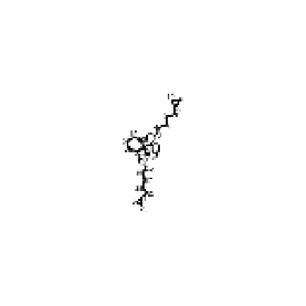 O=C(OCCCCCC1CC1)C1(C(=O)OCCCCCC2CC2)CCCCC1